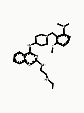 CCNCCNc1nc(NC2CCN(Cc3c(OC)cccc3N(C)C)CC2)c2ccccc2n1